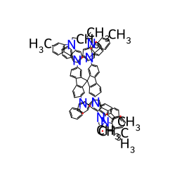 CCn1c2cc(C)ccc2c2ccc(N(c3ccccc3)c3ccc4c(c3)C3(c5cc(N(c6ccccc6)c6ccc7c8ccc(C)cc8n(CC)c7c6)ccc5-4)c4cc(N(c5ccccc5)c5ccc6c7ccc(C)cc7n(CC)c6c5)ccc4-c4ccc(N(c5ccccc5)c5ccc6c7ccc(C)cc7n(CC)c6c5)cc43)cc21